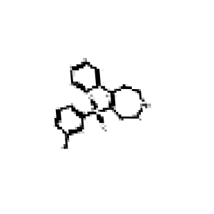 Cc1cccc(S(=O)(=O)C2=C(c3ccccc3)CCNCC2)c1